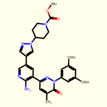 COc1cc(OC)cc(-n2nc(-c3cc(-c4cnn(C5CCN(C(=O)OC(C)(C)C)CC5)c4)cnc3N)cc(C)c2=O)c1